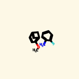 COc1ccc2cc1C2.Nc1ccccc1F